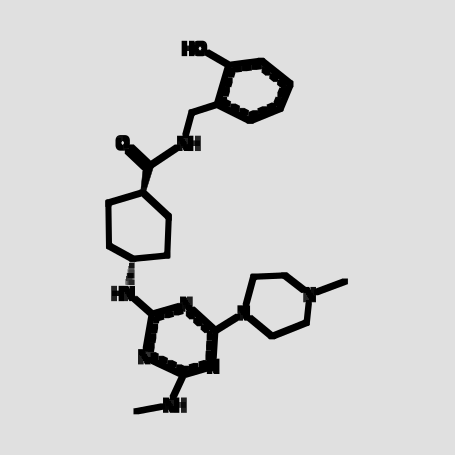 CNc1nc(N[C@H]2CC[C@H](C(=O)NCc3ccccc3O)CC2)nc(N2CCN(C)CC2)n1